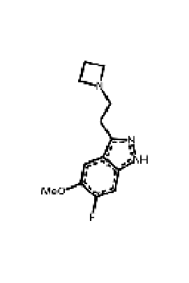 COc1cc2c(CCN3CCC3)n[nH]c2cc1F